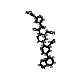 C#Cc1nc(NC(=O)N2CCN(c3ncc(-c4cccc5ncsc45)cc3C#N)C[C@@H]2CO)cs1